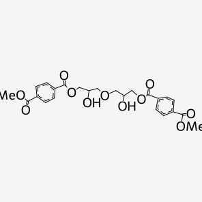 COC(=O)c1ccc(C(=O)OCC(O)COCC(O)COC(=O)c2ccc(C(=O)OC)cc2)cc1